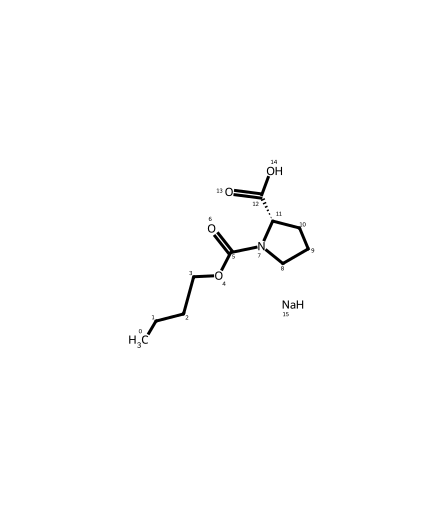 CCCCOC(=O)N1CCC[C@H]1C(=O)O.[NaH]